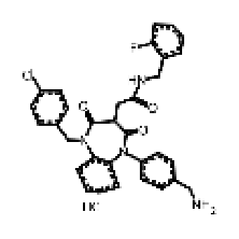 Cl.NCc1ccc(N2C(=O)C(CC(=O)NCc3ccccc3F)C(=O)N(Cc3ccc(Cl)cc3)c3ccccc32)cc1